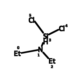 CCN(CC)[SiH](Cl)Cl